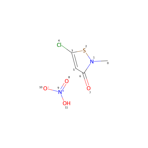 Cn1sc(Cl)cc1=O.O=[N+]([O-])O